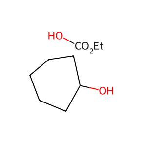 CCOC(=O)O.OC1CCCCC1